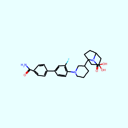 NC(=O)c1ccc(-c2ccc(N3CCCC(C45CCC(CC(O)C4)N5C(=O)O)C3)c(F)c2)cc1